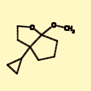 COC12CCCC1(C1CC1)CCO2